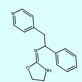 c1ccc(C(Cc2ccncc2)/N=C2\NCCO2)cc1